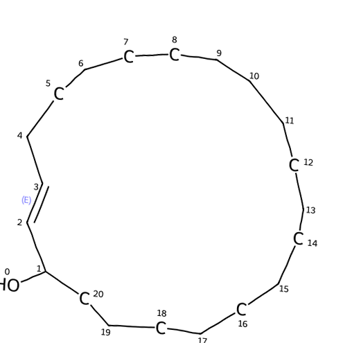 OC1/C=C/CCCCCCCCCCCCCCCCC1